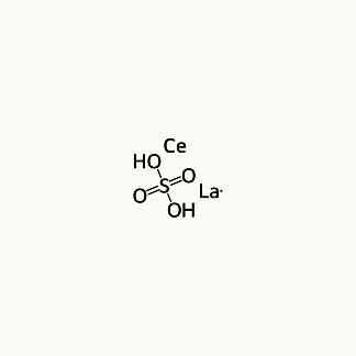 O=S(=O)(O)O.[Ce].[La]